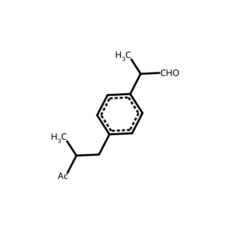 CC(=O)C(C)Cc1ccc(C(C)C=O)cc1